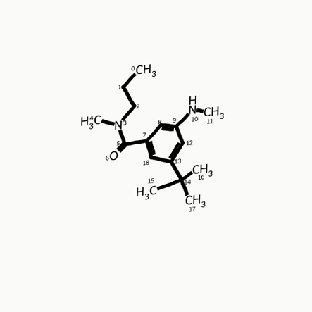 CCCN(C)C(=O)c1cc(NC)cc(C(C)(C)C)c1